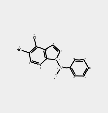 N#Cc1cnc2c(ccn2[S+]([O-])c2ccccc2)c1Cl